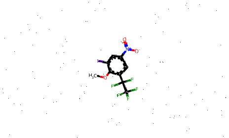 COc1c(I)cc([N+](=O)[O-])cc1C(F)(F)C(F)(F)F